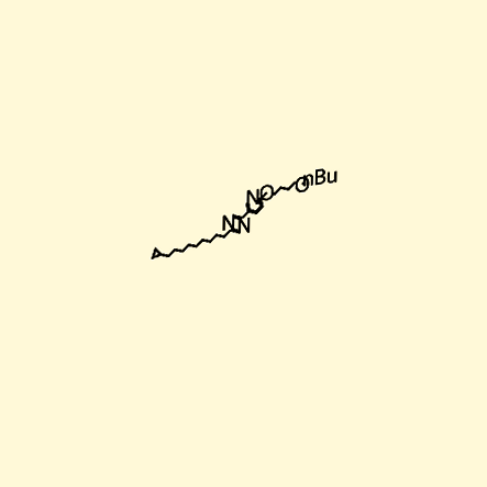 CCCCOCCCCOc1ccc(-c2cnc(CCCCCCCCCC3CC3)cn2)cn1